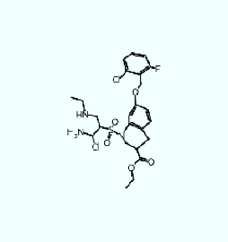 CCNCC(C(N)Cl)S(=O)(=O)N1CC(C(=O)OCC)Cc2ccc(OCc3c(F)cccc3Cl)cc21